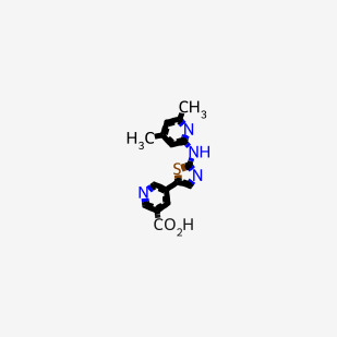 Cc1cc(C)nc(Nc2ncc(-c3cncc(C(=O)O)c3)s2)c1